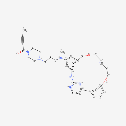 CC#CC(=O)N1CCN(CCCN(C)c2cc3cc(c2)Nc2nccc(n2)-c2cccc(c2)OCC/C=C/COC3)CC1